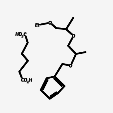 CCOCC(C)OCC(C)OCc1ccccc1.O=C(O)CCCCC(=O)O